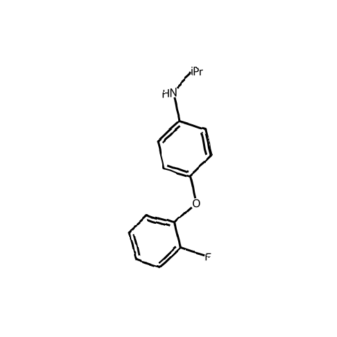 CC(C)Nc1ccc(Oc2ccccc2F)cc1